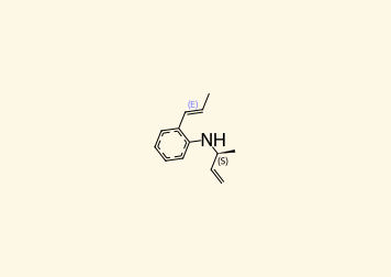 C=C[C@H](C)Nc1ccccc1/C=C/C